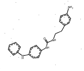 Nc1ccc(CCNC(=O)Nc2ccc(Nc3ccccc3)cc2)cc1